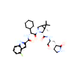 CC1(C)C2CN(C(=O)[C@@H](NC(=O)c3cc4c(F)cccc4[nH]3)C3CCCCC3)[C@H](C(=O)N[C@H](C=O)C[C@@H]3CCNC3=O)[C@H]21